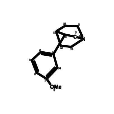 COc1cccc([C]2[CH]N3CCC2CC3)c1